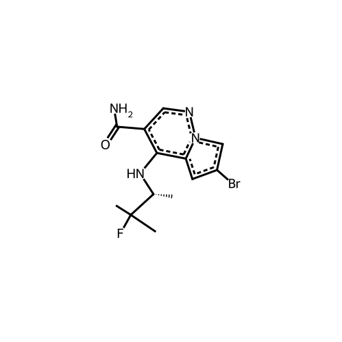 C[C@@H](Nc1c(C(N)=O)cnn2cc(Br)cc12)C(C)(C)F